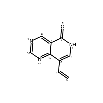 C=Cc1c[nH]c(=O)c2cncnc12